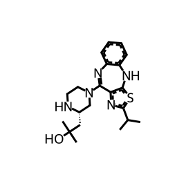 CC(C)c1nc2c(s1)Nc1ccccc1N=C2N1CCN[C@@H](CC(C)(C)O)C1